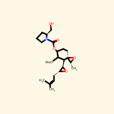 COC1C(OC(=O)N2CCC[C@H]2CO)CC[C@@]2(O[C@@H]2C)C1[C@H]1O[C@@H]1CC=C(C)C